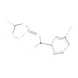 CCC1N[N]C(=NC(=O)c2cccc(C)c2)S1